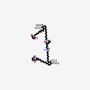 CCCCCCCCC1C(CCCCCC)CCC(CCCCCCCCC(C)(C)N2C(=O)C=CC2=O)C1CCCCCCCCNC(=O)CC/C=C(\C=C(C)C)C(=O)NCCCCCCCCC1CCC(CCCCCC)C(CCCCCCCC)C1CCCCCCCCN1C(=O)C=CC1=O